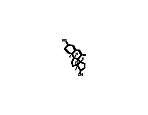 CC1=CC2=CC(O)C=C[C@]2(C)[C@@H]2CC[C@]3(C)C(O)CC[C@H]3[C@H]12